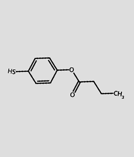 CCCC(=O)Oc1ccc(S)cc1